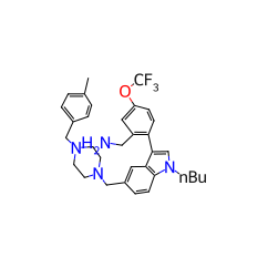 CCCCn1cc(-c2ccc(OC(F)(F)F)cc2CN)c2cc(CN3CCN(Cc4ccc(C)cc4)CC3)ccc21